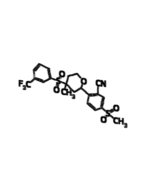 CC1(S(=O)(=O)c2cccc(C(F)(F)F)c2)CCOC(c2ccc(S(C)(=O)=O)cc2C#N)C1